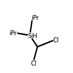 CC(C)[SiH](C(C)C)C(Cl)Cl